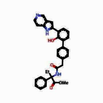 CCC(NC(=O)Cc1ccc(-c2cccc(-c3cc4cnccc4[nH]3)c2O)cc1)(C(=O)OC)c1ccccc1